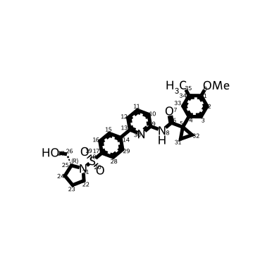 COc1ccc(C2(C(=O)Nc3cccc(-c4ccc(S(=O)(=O)N5CCC[C@@H]5CO)cc4)n3)CC2)cc1C